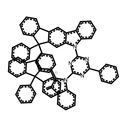 C=c1/c(=C\C2=C(C)c3ccccc3C2(c2ccccc2)c2ccccc2)n(-c2nc(-c3ccccc3)nc(-n3c4ccccc4c4cc5c(cc43)C(c3ccccc3)(c3ccccc3)c3ccccc3-5)n2)c2ccccc12